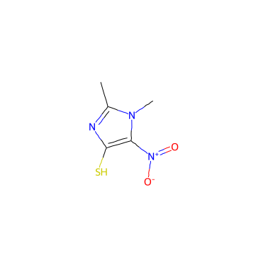 Cc1nc(S)c([N+](=O)[O-])n1C